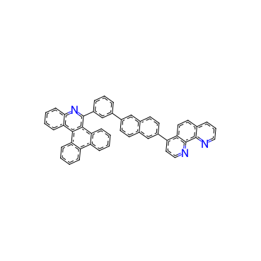 c1cc(-c2ccc3cc(-c4ccnc5c4ccc4cccnc45)ccc3c2)cc(-c2nc3ccccc3c3c4ccccc4c4ccccc4c23)c1